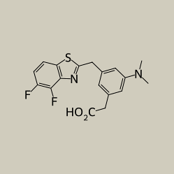 CN(C)c1cc(CC(=O)O)cc(Cc2nc3c(F)c(F)ccc3s2)c1